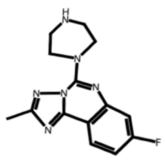 Cc1nc2c3ccc(F)cc3nc(N3CCNCC3)n2n1